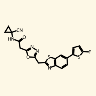 N#CC1(NC(=O)Cc2nnc(Cc3nc4ccc(-c5ccc(F)s5)cc4s3)o2)CC1